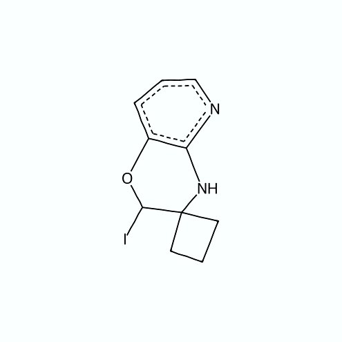 IC1Oc2cccnc2NC12CCC2